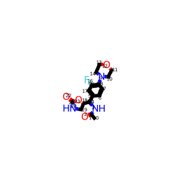 CC(=O)NC(c1ccc(N2CCOCC2)c(F)c1)C1CNC(=O)O1